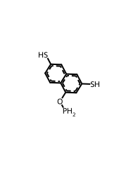 POc1cc(S)cc2cc(S)ccc12